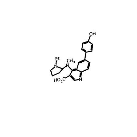 CCN1CCCC1N(C)c1c(C(=O)O)cnc2ccc(-c3ccc(O)cc3)cc12